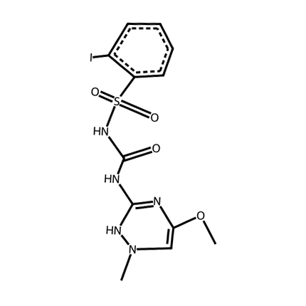 COC1=CN(C)NC(NC(=O)NS(=O)(=O)c2ccccc2I)=N1